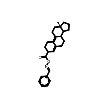 C[C@@]12CCCC1C1CCC3=CC(C(=O)ON=Cc4ccccc4)CCC3=C1CC2